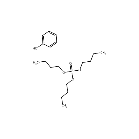 CCCCOP(=O)(OCCCC)OCCCC.Oc1ccccc1